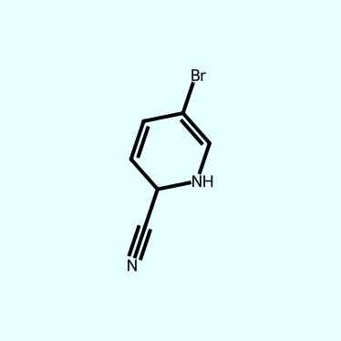 N#CC1C=CC(Br)=CN1